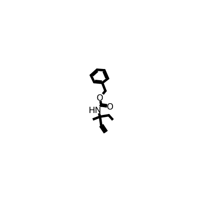 C#CC(C)(CC)NC(=O)OCc1ccccc1